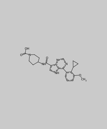 COc1cccc(-c2ncnc3c(C(=O)NC4CCN(C(=O)O)CC4)c[nH]c23)c1C1CC1